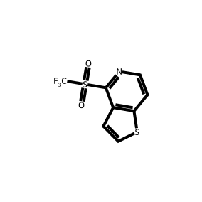 O=S(=O)(c1nccc2sccc12)C(F)(F)F